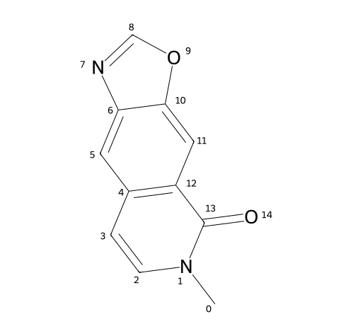 Cn1ccc2cc3ncoc3cc2c1=O